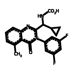 Cc1cccc2nc(C(NC(=O)O)C3CC3)n(-c3cc(F)cc(F)c3)c(=O)c12